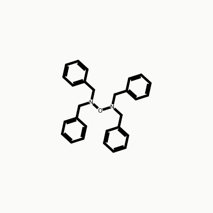 c1ccc(CN(Cc2ccccc2)ON(Cc2ccccc2)Cc2ccccc2)cc1